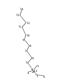 C[CH][Si](C)(C)CCCCCCCCCC